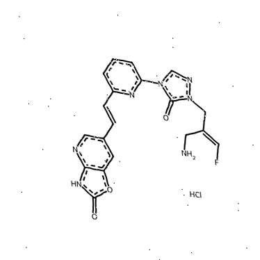 Cl.NC/C(=C\F)Cn1ncn(-c2cccc(/C=C/c3cnc4[nH]c(=O)oc4c3)n2)c1=O